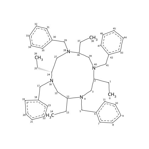 CCC1CN(Cc2ccccc2)C(CC)CN(Cc2ccccc2)[C@H](CC)CN(Cc2ccccc2)C(CC)CN1Cc1ccccc1